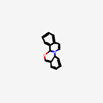 C1=CC2=COC3c4ccccc4C=CN3C2C=C1